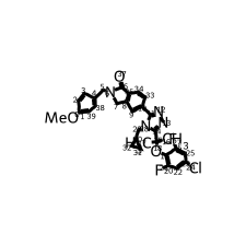 COc1ccc(CN2Cc3cc(-c4nnc(C(C)(C)Oc5c(F)cc(Cl)cc5F)n4CC4CC4)ccc3C2=O)cc1